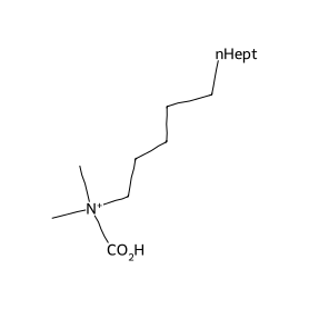 CCCCCCCCCCCC[N+](C)(C)C(=O)O